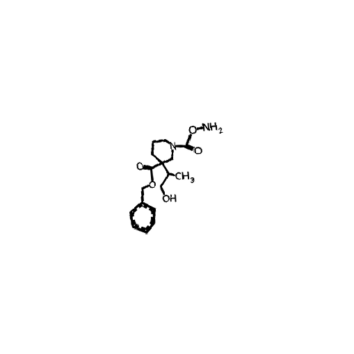 CC(CO)C1(C(=O)OCc2ccccc2)CCCN(C(=O)ON)C1